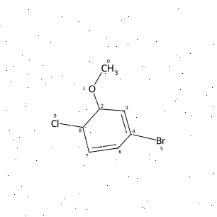 COC1C=C(Br)C=C[C]1Cl